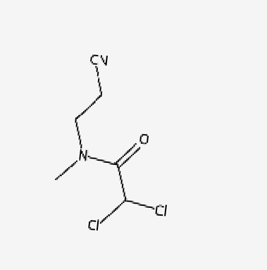 CN(CCC#N)C(=O)C(Cl)Cl